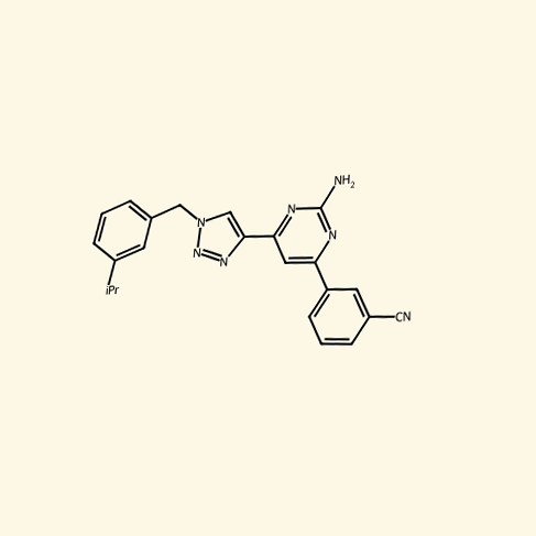 CC(C)c1cccc(Cn2cc(-c3cc(-c4cccc(C#N)c4)nc(N)n3)nn2)c1